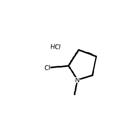 CN1CCCC1Cl.Cl